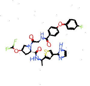 CC(NC(=O)[C@@H]1C[C@@H](OC(F)F)CN1C(=O)CNC(=O)c1ccc(Oc2ccc(F)cc2)cc1)c1cc(-c2ncc[nH]2)cs1